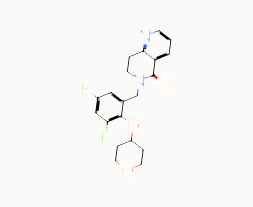 O=C1c2cccnc2CCN1Cc1cc(F)cc(F)c1OC1CCOCC1